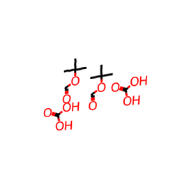 CC(C)(C)OC=O.CC(C)(C)OC=O.O=C(O)O.O=C(O)O